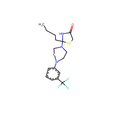 CCCCC1(N2CCN(c3cccc(C(F)(F)F)c3)CC2)NC(=O)CS1